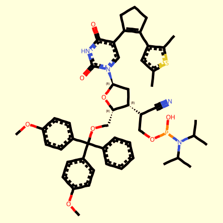 COc1ccc(C(OC[C@@H]2O[C@@H](n3cc(C4=C(c5cc(C)sc5C)CCC4)c(=O)[nH]c3=O)C[C@@H]2C(C#N)COP(O)N(C(C)C)C(C)C)(c2ccccc2)c2ccc(OC)cc2)cc1